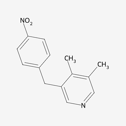 Cc1cncc(Cc2ccc([N+](=O)[O-])cc2)c1C